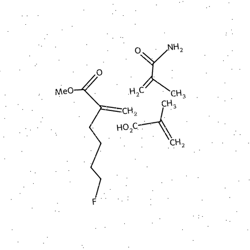 C=C(C)C(=O)O.C=C(C)C(N)=O.C=C(CCCCF)C(=O)OC